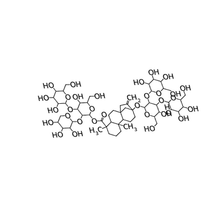 C=C1CC23CCC4C(C)(C(=O)OC5OC(CO)C(O)C(OC6OC(CO)C(O)C(O)C6O)C5OC5OCC(O)C(O)C5O)CCCC4(C)C2CCC1(OC1OC(CO)C(O)C(OC2OC(CO)C(O)C(O)C2O)C1OC1OC(CO)C(O)C(O)C1O)C3